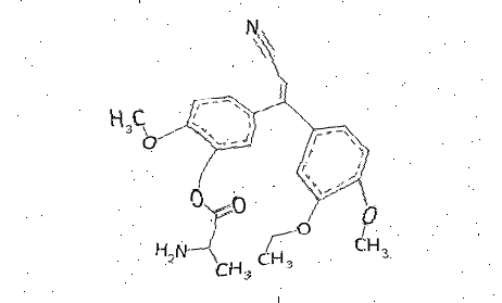 CCOc1cc(C(=CC#N)c2ccc(OC)c(OC(=O)C(C)N)c2)ccc1OC